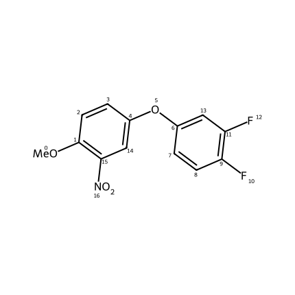 COc1ccc(Oc2ccc(F)c(F)c2)cc1[N+](=O)[O-]